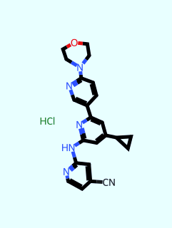 Cl.N#Cc1ccnc(Nc2cc(C3CC3)cc(-c3ccc(N4CCOCC4)nc3)n2)c1